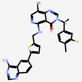 Cc1ccc([C@H](C)n2cnc3c(C#N)cnc(NCc4ccc(-c5ccc6ncnc(N)c6c5)s4)c3c2=O)cc1F